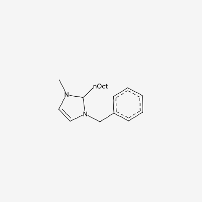 CCCCCCCCC1N(C)C=CN1Cc1ccccc1